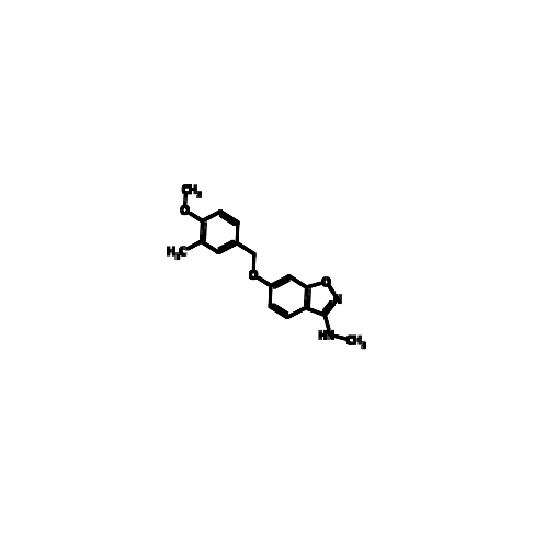 CNc1noc2cc(OCc3ccc(OC)c(C)c3)ccc12